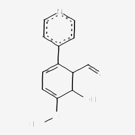 COC1=CC=C(c2ccncc2)C(C=O)C1O